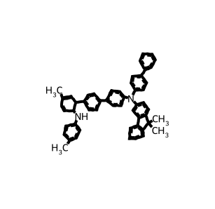 CC1=CC(c2ccc(-c3ccc(N(c4ccc(-c5ccccc5)cc4)c4ccc5c(c4)-c4ccccc4C5(C)C)cc3)cc2)C(Nc2ccc(C)cc2)C=C1